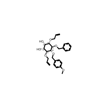 C=CCO[C@H]1[C@H](O)[C@H](O)[C@H](OCC=C)[C@@H](OCc2ccccc2)[C@@H]1OCc1ccc(OC)cc1